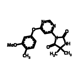 COc1cc(Oc2cc(N3C(=O)NC(C)(C)C3=O)ncn2)ccc1C